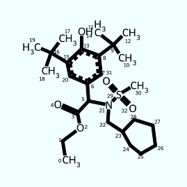 CCOC(=O)C(c1cc(C(C)(C)C)c(O)c(C(C)(C)C)c1)N(CC1CCCCC1)S(C)(=O)=O